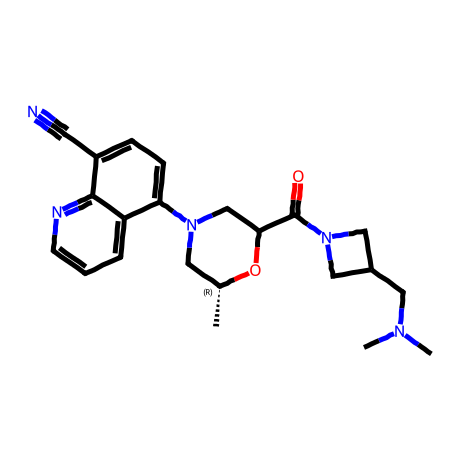 C[C@@H]1CN(c2ccc(C#N)c3ncccc23)CC(C(=O)N2CC(CN(C)C)C2)O1